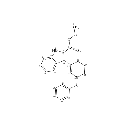 CCOC(=O)c1[nH]c2ccccc2c1C1=CN(Cc2ccccc2)CCC1